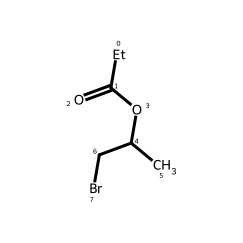 CCC(=O)OC(C)CBr